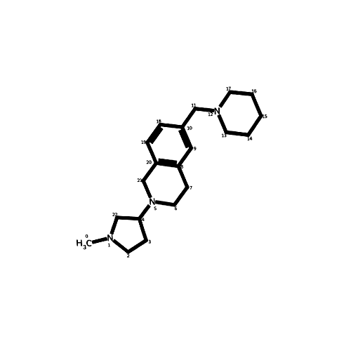 CN1CCC(N2CCc3cc(CN4CCCCC4)ccc3C2)C1